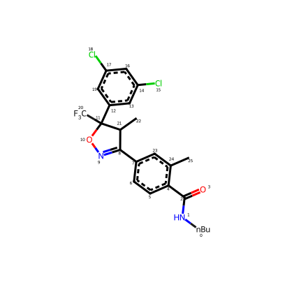 CCCCNC(=O)c1ccc(C2=NOC(c3cc(Cl)cc(Cl)c3)(C(F)(F)F)C2C)cc1C